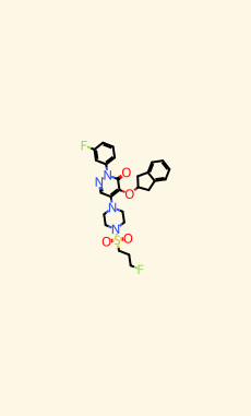 O=c1c(OC2Cc3ccccc3C2)c(N2CCN(S(=O)(=O)CCCF)CC2)cnn1-c1cccc(F)c1